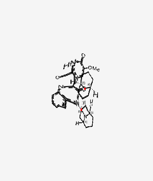 COc1cn(-c2nc3ccccc3n([C@H]3C[C@H]4CCC[C@@H](C3)N4C[C@H]3C[C@@H]4CCC[C@@H](C4)C3)c2=O)c(=O)[nH]c1=O